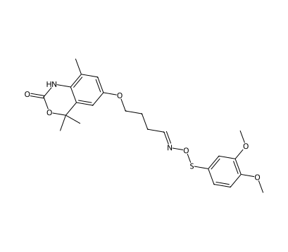 COc1ccc(SON=CCCCOc2cc(C)c3c(c2)C(C)(C)OC(=O)N3)cc1OC